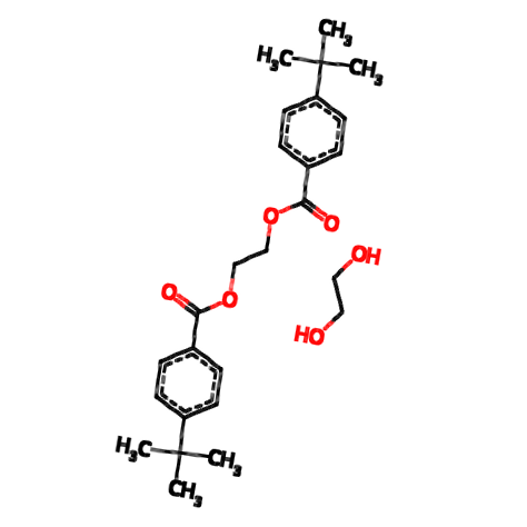 CC(C)(C)c1ccc(C(=O)OCCOC(=O)c2ccc(C(C)(C)C)cc2)cc1.OCCO